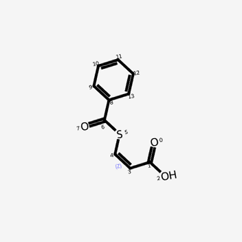 O=C(O)/C=C\SC(=O)c1ccccc1